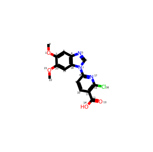 COc1cc2ncn(-c3ccc(C(=O)O)c(Cl)n3)c2cc1OC